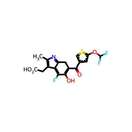 CC1=C(CC(=O)O)C2=C(F)C(O)=C(C(=O)c3csc(OC(F)F)c3)CC2=N1